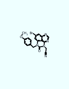 COc1ccc(CN2C(=O)N(CC#N)c3ncnc4cc(Br)cc2c34)cc1